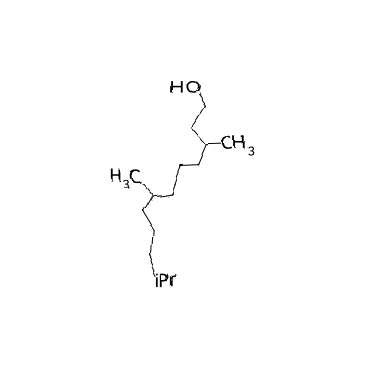 CC(C)CCCC(C)CCCC(C)CCO